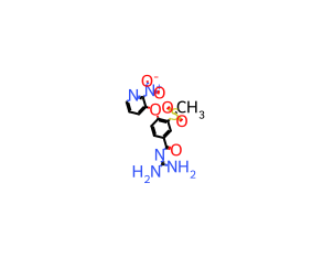 CS(=O)(=O)c1cc(C(=O)N=C(N)N)ccc1Oc1cccnc1[N+](=O)[O-]